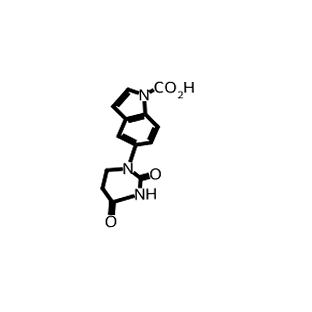 O=C1CCN(c2ccc3c(ccn3C(=O)O)c2)C(=O)N1